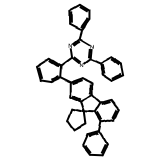 c1ccc(-c2nc(-c3ccccc3)nc(-c3ccccc3-c3ccc4c(c3)C3(CCCC3)c3c(-c5ccccc5)cccc3-4)n2)cc1